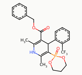 CC1=C(C(=O)OCc2ccccc2)C(c2ccccc2C(F)(F)F)C(P2(=O)OCCCO2)=C(C)N1